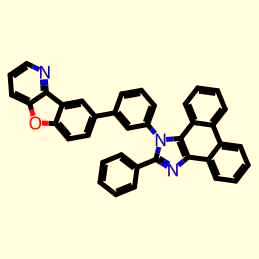 c1ccc(-c2nc3c4ccccc4c4ccccc4c3n2-c2cccc(-c3ccc4oc5cccnc5c4c3)c2)cc1